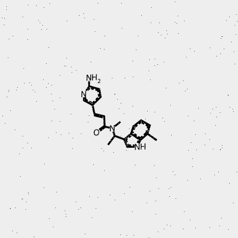 Cc1cccc2c(C(C)N(C)C(=O)C=Cc3ccc(N)nc3)c[nH]c12